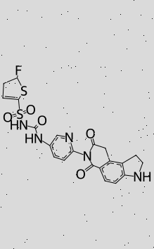 O=C(Nc1ccc(N2C(=O)Cc3c(ccc4c3CCN4)C2=O)nc1)NS(=O)(=O)C1=CCC(F)S1